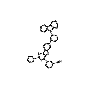 N#Cc1cccc(-c2nc(-c3ccccc3)nc3c2sc2cc(-c4cccc(-n5c6ccccc6c6ccccc65)c4)ccc23)c1